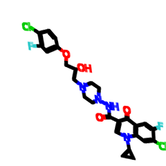 O=C(NN1CCN(C[C@H](O)COc2ccc(Cl)c(F)c2)CC1)c1cn(C2CC2)c2cc(Cl)c(F)cc2c1=O